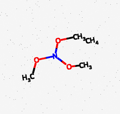 C.CON(OC)OC